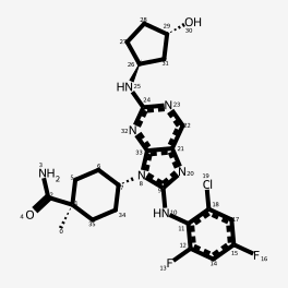 C[C@]1(C(N)=O)CC[C@H](n2c(Nc3c(F)cc(F)cc3Cl)nc3cnc(N[C@H]4CC[C@H](O)C4)nc32)CC1